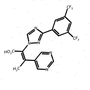 CC(=C(C(=O)O)n1cnc(-c2cc(C(F)(F)F)cc(C(F)(F)F)c2)n1)c1cncnc1